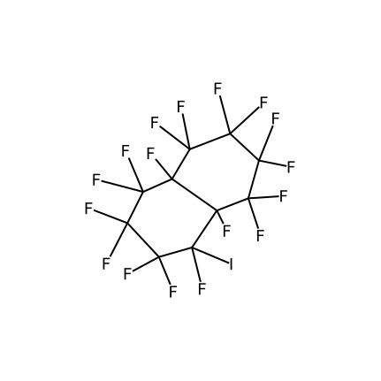 FC1(F)C(F)(F)C(F)(F)C2(F)C(F)(I)C(F)(F)C(F)(F)C(F)(F)C2(F)C1(F)F